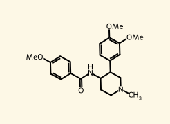 COc1ccc(C(=O)NC2CCN(C)CC2c2ccc(OC)c(OC)c2)cc1